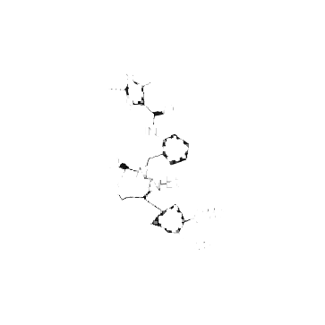 CCN1C(c2ccc(OC)c(OC)c2)COC(=O)N1Cc1ccccc1NC(=O)c1sc(C)nc1C